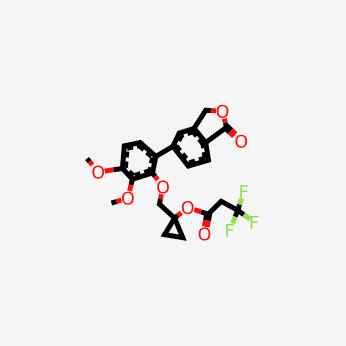 COc1ccc(-c2ccc3c(c2)COC3=O)c(OCC2(OC(=O)CC(F)(F)F)CC2)c1OC